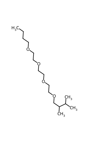 CCCCOCCOCCOCCOCC(C)C(C)C